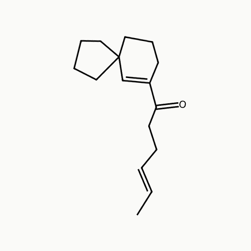 CC=CCCC(=O)C1=CC2(CCCC2)CCC1